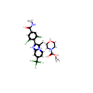 CNC(=O)c1cc(F)c(-c2nc3cc(C(F)(F)F)ccn3c2C[C@H]2CN(C(=O)OC)CCO2)c(F)c1